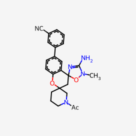 CC(=O)N1CCCC2(C1)CC1(N=C(N)N(C)O1)c1cc(-c3cccc(C#N)c3)ccc1O2